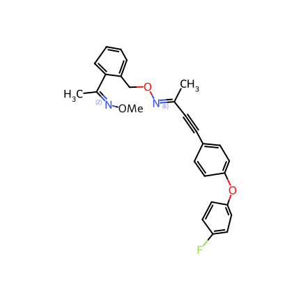 CO/N=C(/C)c1ccccc1CO/N=C(\C)C#Cc1ccc(Oc2ccc(F)cc2)cc1